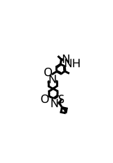 Cc1n[nH]c2c(C)cc(C(=O)N3CCC4(CC3)CC(=O)c3nc(C56CC(C5)C6)sc3C4)cc12